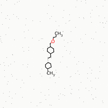 CCCOCC1CCC(CC[C@H]2CC[C@H](C)CC2)CC1